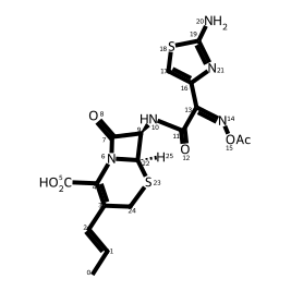 C/C=C/C1=C(C(=O)O)N2C(=O)[C@@H](NC(=O)/C(=N\OC(C)=O)c3csc(N)n3)[C@H]2SC1